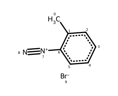 Cc1ccccc1[N+]#N.[Br-]